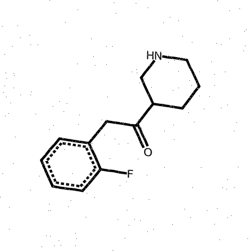 O=C(Cc1ccccc1F)C1CCCNC1